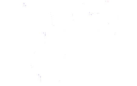 C=C(Nc1ccccc1)C1CC(C#N)N(C(=C)CC2CCN(C(=O)C(F)(F)F)C2)C1